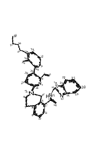 C=Cc1nc(N2CCc3cccc(C(=C)Nc4nc5ccccc5s4)c3C2)ccc1-c1cccc(CCCC)c1C